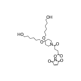 O=C(CCC(=O)N1CCC(OCCCCCCO)(OCCCCCCO)CC1)ON1C(=O)C=CC1=O